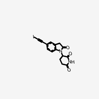 O=C1CCC(N2C(=O)Cc3cc(C#CI)ccc32)C(=O)N1